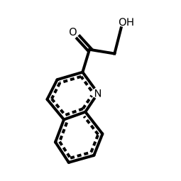 O=C(CO)c1ccc2ccccc2n1